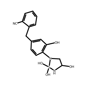 N#Cc1ccccc1Cc1ccc(N2CC(O)NS2(O)O)c(O)c1